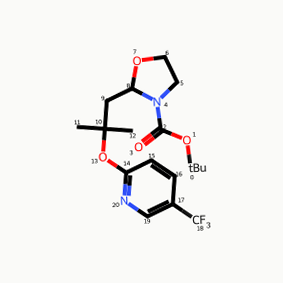 CC(C)(C)OC(=O)N1CCOC1CC(C)(C)Oc1ccc(C(F)(F)F)cn1